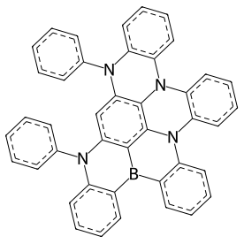 c1ccc(N2c3ccccc3B3c4ccccc4N4c5ccccc5N5c6ccccc6N(c6ccccc6)c6cc2c3c4c65)cc1